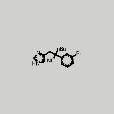 CCCCC(C#N)(Cc1c[nH]cn1)c1cccc(Br)c1